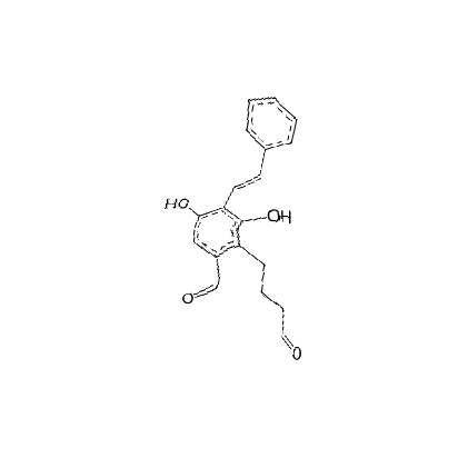 O=CCCCc1c(C=O)cc(O)c(C=Cc2ccccc2)c1O